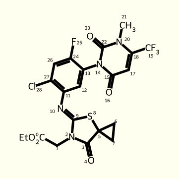 CCOC(=O)CN1C(=O)C2(CC2)SC1=Nc1cc(-n2c(=O)cc(C(F)(F)F)n(C)c2=O)c(F)cc1Cl